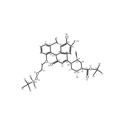 CC(C)c1nccc(OCCOO[Si](C)(C)C(C)(C)C)c1-n1c(=O)nc(N2C[C@@H](C)N(C(=O)OC(C)(C)C)C[C@@H]2C)c2cc(F)c(Cl)cc21